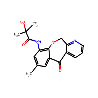 Cc1cc(NC(=O)C(C)(O)C(F)(F)F)c2c(c1)C(=O)c1cccnc1CO2